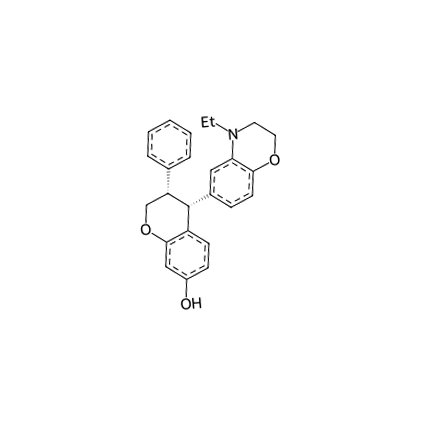 CCN1CCOc2ccc([C@@H]3c4ccc(O)cc4OC[C@@H]3c3ccccc3)cc21